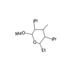 CCC1OC(OC)C(C(C)C)C(C)C1C(C)C